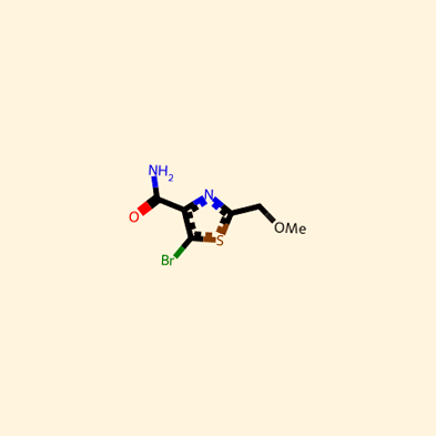 COCc1nc(C(N)=O)c(Br)s1